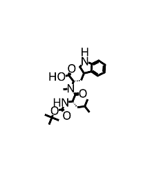 CC(C)C[C@H](NC(=O)OC(C)(C)C)C(=O)N(C)[C@@H](CC1CNc2ccccc21)C(=O)O